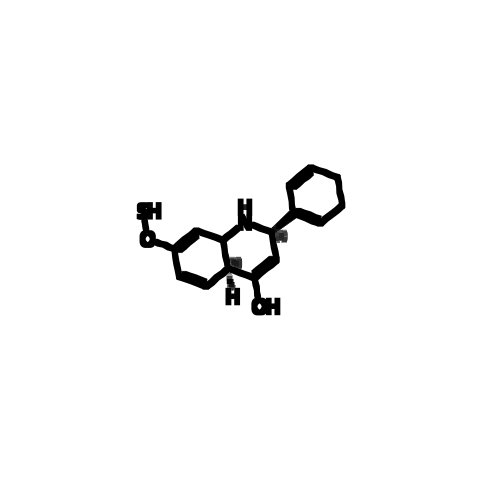 OC1=C[C@H](C2=CCCC=C2)NC2C=C(OS)C=C[C@H]12